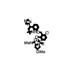 CNC(=O)[C@@H]1C[C@@H](OC)CN1S(=O)(=O)c1ccc(Cl)c(COc2cccc3c2NC(C)(C)C=C3n2cncn2)c1Cl